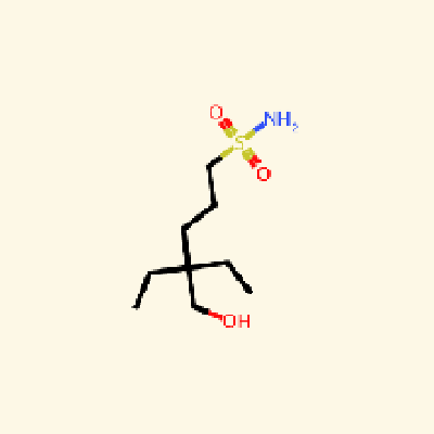 CCC(CC)(CO)CCCS(N)(=O)=O